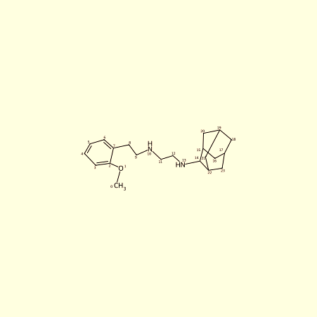 COc1ccccc1CCNCCNC1C2CC3CC(C2)CC1C3